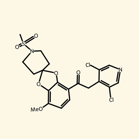 COc1ccc(C(=O)Cc2c(Cl)cncc2Cl)c2c1OC1(CCN(S(C)(=O)=O)CC1)O2